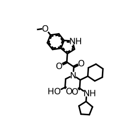 COc1ccc2c(C(=O)C(=O)N(CC(=O)O)C(C(=O)NC3CCCC3)C3CCCCC3)c[nH]c2c1